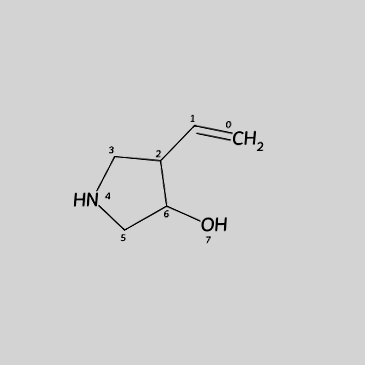 C=CC1CNCC1O